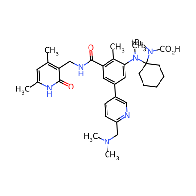 Cc1cc(C)c(CNC(=O)c2cc(-c3ccc(CN(C)C)nc3)cc(N(C)C3(N(C(=O)O)C(C)(C)C)CCCCC3)c2C)c(=O)[nH]1